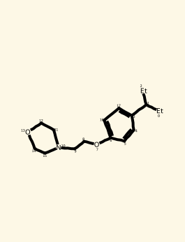 CCC(CC)c1ccc(OCCN2CCOCC2)cc1